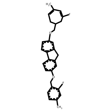 CC1=CCC(COc2ccc3c(c2)Cc2cc(OCc4ccc(C)cc4F)ccc2-3)CC(F)=C1